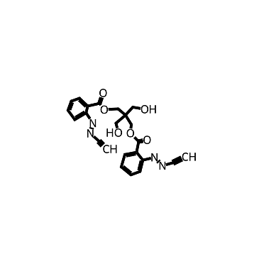 C#CN=Nc1ccccc1C(=O)OCC(CO)(CO)COC(=O)c1ccccc1N=NC#C